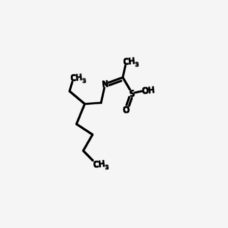 CCCCC(CC)CN=C(C)S(=O)O